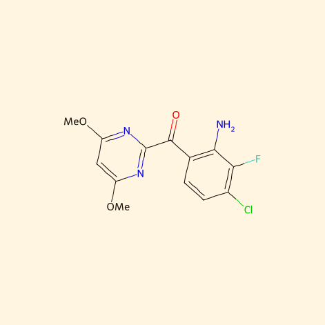 COc1cc(OC)nc(C(=O)c2ccc(Cl)c(F)c2N)n1